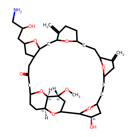 C=C1CC2CCC3C[C@@H](O)C(O3)C3C[C@@H](OC)[C@@H]4OC(CC[C@@H]4O3)CC(=O)CC3CC(CC(O)CN)OC3CC3OC(CCC3=C)CCC1O2